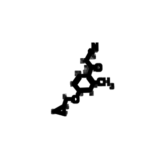 Cc1cc(OCC2CC2)ccc1C(=O)CC#N